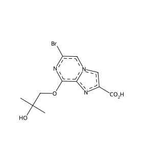 CC(C)(O)COc1nc(Br)cn2cc(C(=O)O)nc12